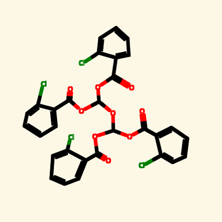 O=C(OC(OC(=O)c1ccccc1Cl)OC(OC(=O)c1ccccc1Cl)OC(=O)c1ccccc1Cl)c1ccccc1Cl